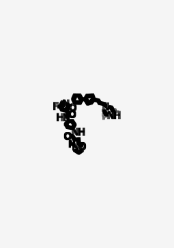 C[C@@H]1CN(CCCc2ccc(-c3cccc(Oc4ncc(F)cc4C(=O)NC4CCC(NC(=O)c5cc6n(n5)CCCO6)CC4)c3)cc2)C[C@H](C)N1